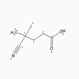 CC(I)(C#N)CCC(=O)O